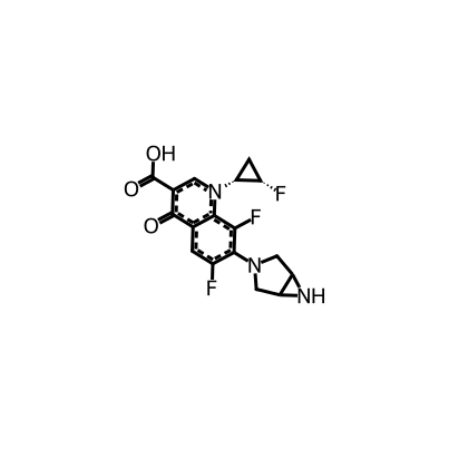 O=C(O)c1cn([C@@H]2C[C@@H]2F)c2c(F)c(N3CC4NC4C3)c(F)cc2c1=O